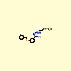 N=C(/N=N\NCCCC(=O)O)c1cccc(OCc2ccccc2)c1